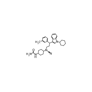 Cc1cccc(C(CCN(C#N)C2CCC(NC(N)=O)CC2)c2cn(C3CCCCC3)c3ccccc23)c1